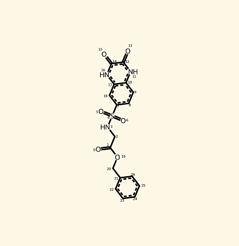 O=C(CNS(=O)(=O)c1ccc2[nH]c(=O)c(=O)[nH]c2c1)OCc1ccccc1